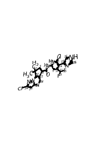 CC1(C)CC(C(=O)Nc2cc(C(F)F)c(-c3c[nH]cn3)c(=O)[nH]2)c2cnc3cc(Cl)nn3c21